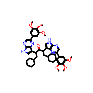 COc1cc(-c2cnc3[nH]cc(C(CC4CCCCC4)C(=O)C(CC4CCCCC4)c4c[nH]c5ncc(-c6cc(OC)c(OC)c(OC)c6)nc45)c3n2)cc(OC)c1OC